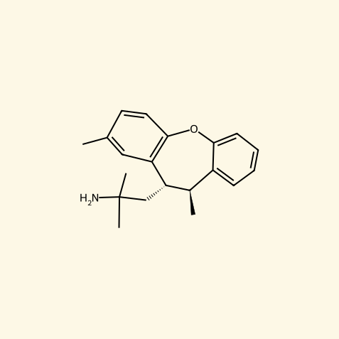 Cc1ccc2c(c1)[C@@H](CC(C)(C)N)[C@H](C)c1ccccc1O2